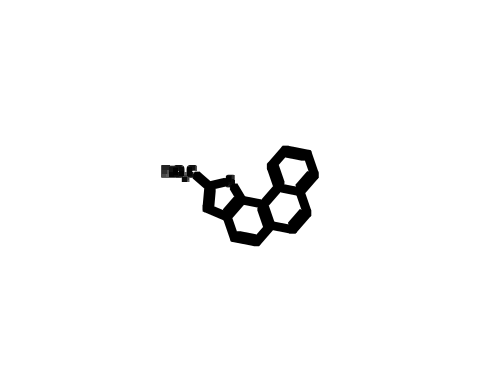 CCOC(=O)c1cc2ccc3ccc4ccccc4c3c2s1